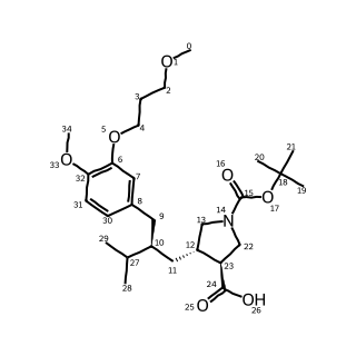 COCCCOc1cc(C[C@@H](C[C@@H]2CN(C(=O)OC(C)(C)C)C[C@H]2C(=O)O)C(C)C)ccc1OC